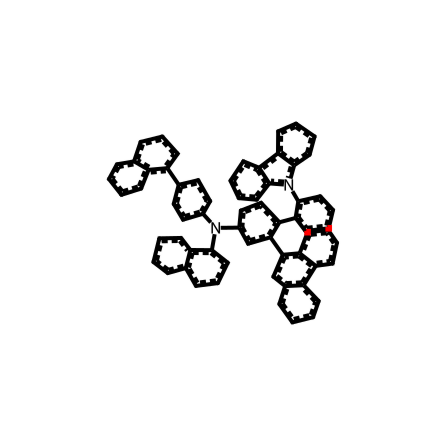 c1ccc(-n2c3ccccc3c3ccccc32)c(-c2ccc(N(c3ccc(-c4cccc5ccccc45)cc3)c3cccc4ccccc34)cc2-c2cc3ccccc3c3ccccc23)c1